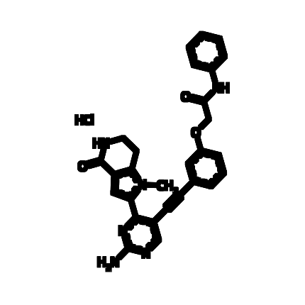 Cl.Cn1c(-c2nc(N)ncc2C#Cc2cccc(OCC(=O)Nc3ccccc3)c2)cc2c1CCNC2=O